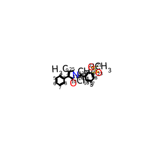 CC1=C(c2ccccc2)C(=O)N(C(C)(C)c2cccc(S(C)(=O)=O)c2)C1